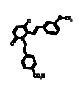 O=C(O)c1ccc(CCn2c(/C=C/c3cccc(OC(F)(F)F)c3)c(Cl)ccc2=O)cc1